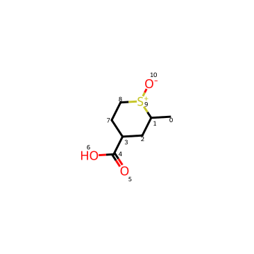 CC1CC(C(=O)O)CC[S+]1[O-]